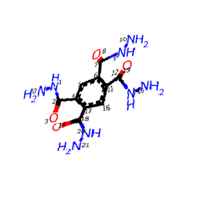 NNC(=O)c1cc(C(=O)NN)c(C(=O)NN)cc1C(=O)NN